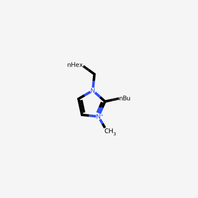 CCCCCCCn1cc[n+](C)c1CCCC